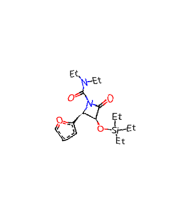 CCN(CC)C(=O)N1C(=O)[C@@H](O[Si](CC)(CC)CC)[C@H]1c1ccco1